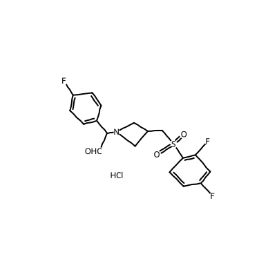 Cl.O=CC(c1ccc(F)cc1)N1CC(CS(=O)(=O)c2ccc(F)cc2F)C1